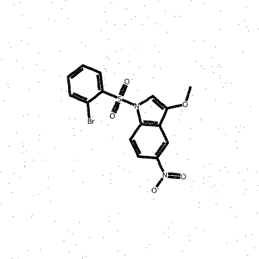 COc1cn(S(=O)(=O)c2ccccc2Br)c2ccc([N+](=O)[O-])cc12